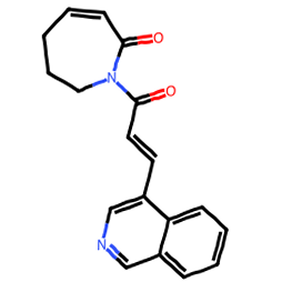 O=C1C=CCCCN1C(=O)C=Cc1cncc2ccccc12